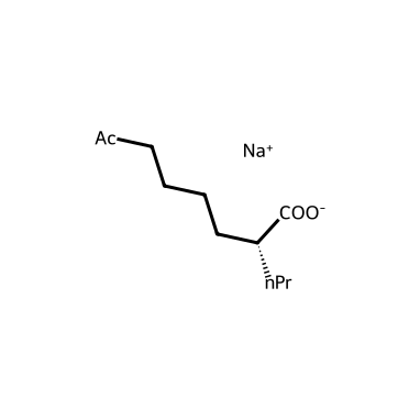 CCC[C@H](CCCCC(C)=O)C(=O)[O-].[Na+]